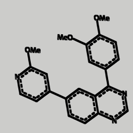 COc1cc(-c2ccc3ncnc(-c4ccc(OC)c(OC)c4)c3c2)ccn1